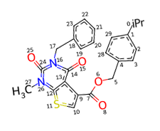 CC(C)c1ccc(COC(=O)c2csc3c2c(=O)n(Cc2ccccc2)c(=O)n3C)cc1